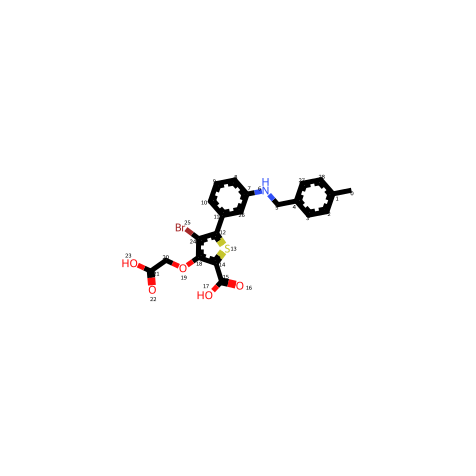 Cc1ccc(CNc2cccc(-c3sc(C(=O)O)c(OCC(=O)O)c3Br)c2)cc1